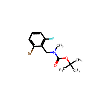 CN(Cc1c(F)cccc1Br)C(=O)OC(C)(C)C